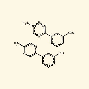 COc1cccc(-c2cnc(N)cn2)c1.Nc1cnc(-c2cccc(O)c2)cn1